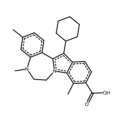 Cc1ccc2c(c1)N(C)CCn1c-2c(C2CCCCC2)c2ccc(C(=O)O)c(C)c21